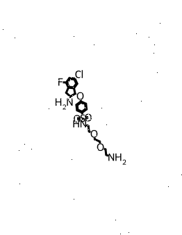 NCCOCCOCCNS(=O)(=O)c1ccc(O[C@H]2c3cc(Cl)cc(F)c3C[C@@H]2N)cc1